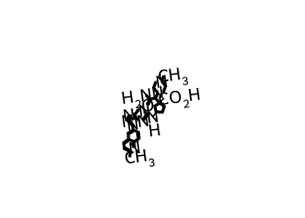 Cc1ccc2cc(-n3nnc4cnc(N[C@@H]5CC[C@@](C(=O)O)(C(C(N)=O)N6CCN(C)CC6)C5)nc43)ccc2n1